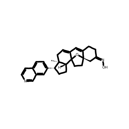 C[C@]12CC=C3C=C4CC/C(=N/O)C[C@]45CCC3(O5)[C@@H]1CC[C@@H]2c1ccc2ccncc2c1